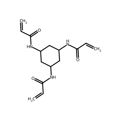 C=CC(=O)NC1CC(NC(=O)C=C)CC(NC(=O)C=C)C1